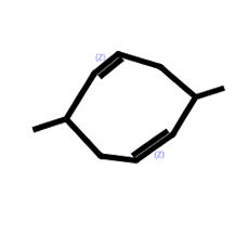 CC1/C=C\CC(C)/C=C\C1